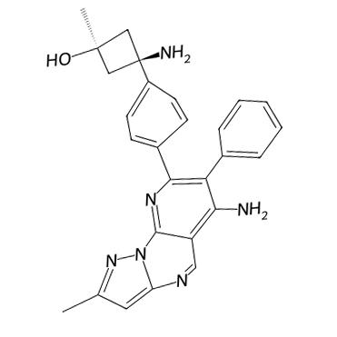 Cc1cc2ncc3c(N)c(-c4ccccc4)c(-c4ccc([C@]5(N)C[C@@](C)(O)C5)cc4)nc3n2n1